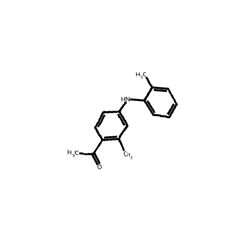 CC(=O)c1ccc(Nc2ccccc2C)cc1C